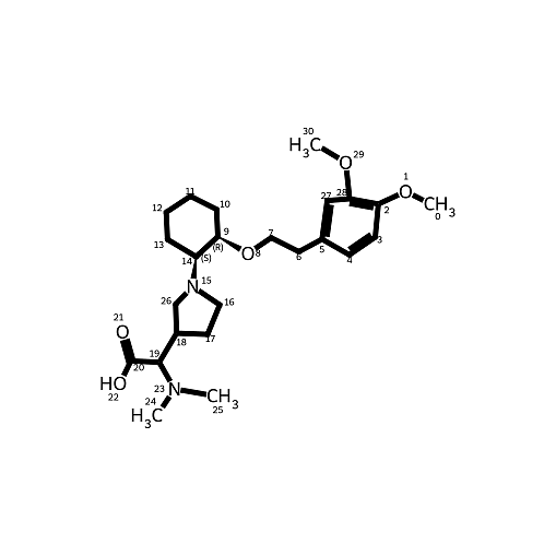 COc1ccc(CCO[C@@H]2CCCC[C@@H]2N2CCC(C(C(=O)O)N(C)C)C2)cc1OC